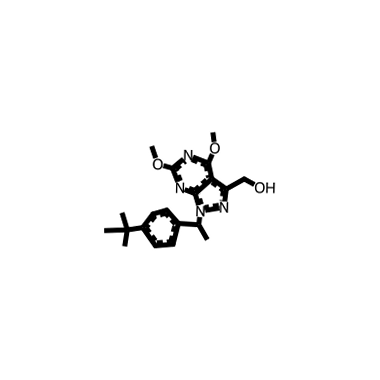 COc1nc(OC)c2c(CO)nn(C(C)c3ccc(C(C)(C)C)cc3)c2n1